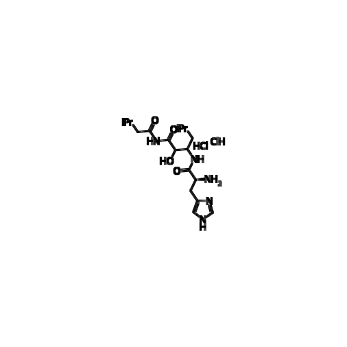 CC(C)CC(=O)NC(=O)C(O)C(CC(C)C)NC(=O)[C@@H](N)Cc1c[nH]cn1.Cl.Cl